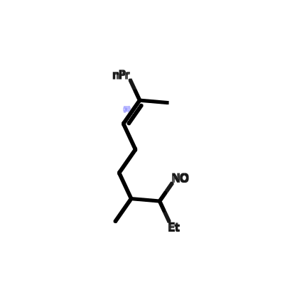 CCC/C(C)=C/CCC(C)C(CC)N=O